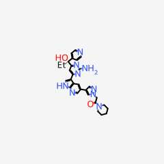 CC[C@](O)(c1ccncc1)c1cc(-c2c[nH]c3ncc(-c4cnn(CC(=O)N5CCCCC5)c4)cc23)nc(N)n1